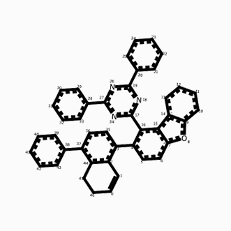 C1=Cc2c(-c3ccc4oc5ccccc5c4c3-c3nc(-c4ccccc4)nc(-c4ccccc4)n3)ccc(-c3ccccc3)c2CC1